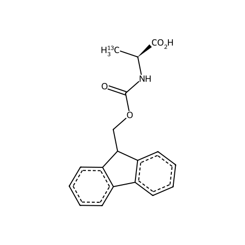 [13CH3][C@H](NC(=O)OCC1c2ccccc2-c2ccccc21)C(=O)O